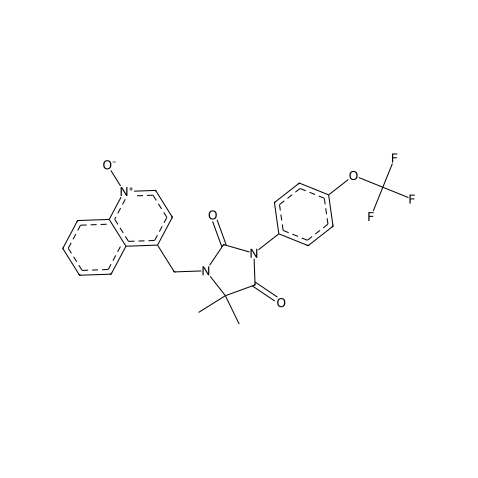 CC1(C)C(=O)N(c2ccc(OC(F)(F)F)cc2)C(=O)N1Cc1cc[n+]([O-])c2ccccc12